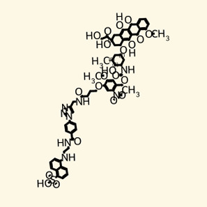 COc1cc(C(C)OC(=O)NC2C[C@H](OC3C[C@](O)(C(=O)CO)Cc4c(O)c5c(c(O)c43)C(=O)c3c(OC)cccc3C5=O)C[C@@H](C)[C@H]2O)c([N+](=O)[O-])cc1OCCCC(=O)NCc1cn(-c2ccc(C(=O)NCCNc3cccc4c(S(=O)(=O)O)cccc34)cc2)nn1